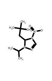 CC(C)N1N=CN([N+](=O)[O-])C1CC(C)(C)C